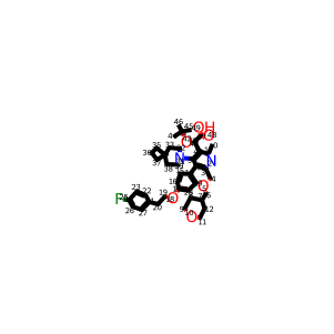 Cc1nc(COCC2CCOCC2)c(-c2ccc(OCCc3ccc(F)cc3)cc2)c(N2CCC3(CCC3)CC2)c1[C@H](OC(C)(C)C)C(=O)O